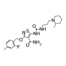 Cc1ccc(COc2nsc(NC(=O)NCCCN3CCCCC3C)c2C(N)=O)c(F)c1